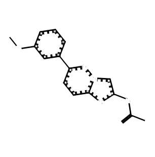 CSc1cccc(-c2ccc3nc(NC(C)=O)cn3n2)c1